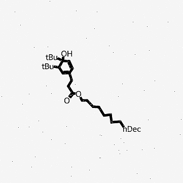 CCCCCCCCCCCCCCCCCCOC(=O)CCC1=CC(C(C)(C)C)C(O)(C(C)(C)C)C=C1